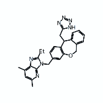 CCc1nc2c(C)cc(C)nc2n1Cc1ccc2c(c1)OCc1ccccc1C2Cc1nnn[nH]1